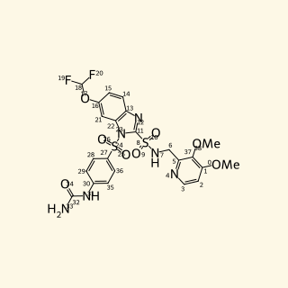 COc1ccnc(CNS(=O)(=O)c2nc3ccc(OC(F)F)cc3n2S(=O)(=O)c2ccc(NC(N)=O)cc2)c1OC